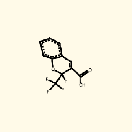 O=C(O)C1=Cc2ccccc2OC1(F)C(F)(F)F